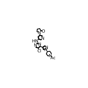 CC(=O)N1CCC(n2cc(-c3nc(Nc4cncc(N5CCCC5=O)c4)ncc3Cl)cn2)CC1